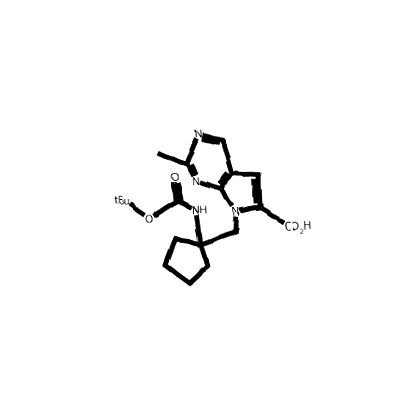 Cc1ncc2cc(C(=O)O)n(CC3(NC(=O)OC(C)(C)C)CCCC3)c2n1